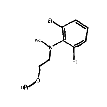 CCCOCCN(C(C)=O)c1c(CC)cccc1CC